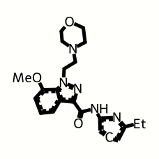 CCc1cccc(NC(=O)c2nn(CCN3CCOCC3)c3c(OC)cccc23)n1